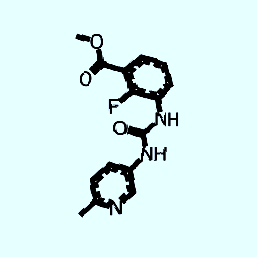 COC(=O)c1cccc(NC(=O)Nc2ccc(C)nc2)c1F